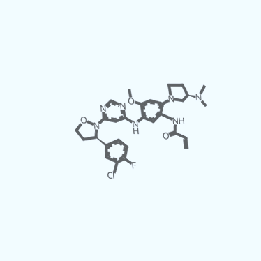 C=CC(=O)Nc1cc(Nc2cc(N3OCC[C@@H]3c3ccc(F)c(Cl)c3)ncn2)c(OC)cc1N1CC[C@@H](N(C)C)C1